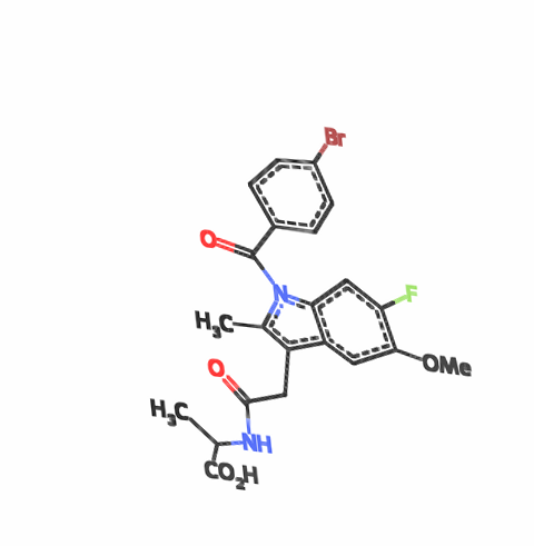 COc1cc2c(CC(=O)NC(C)C(=O)O)c(C)n(C(=O)c3ccc(Br)cc3)c2cc1F